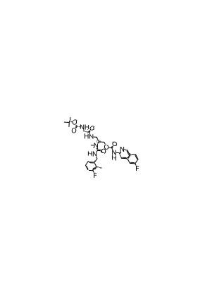 Cc1c(F)cccc1CNC(=O)N(C)[C@@H](CNC(=O)CNC(=O)OC(C)(C)C)COC(=O)Nc1cc2cc(F)ccc2cn1